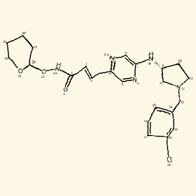 O=C(C=Cc1cnc(N[C@@H]2CCN(Cc3cccc(Cl)c3)C2)cn1)NOC1CCCCO1